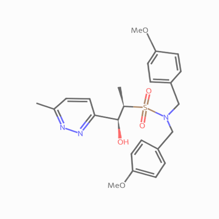 COc1ccc(CN(Cc2ccc(OC)cc2)S(=O)(=O)[C@H](C)[C@@H](O)c2ccc(C)nn2)cc1